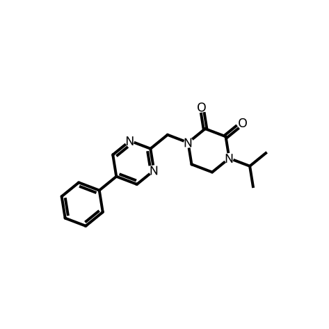 CC(C)N1CCN(Cc2ncc(-c3ccccc3)cn2)C(=O)C1=O